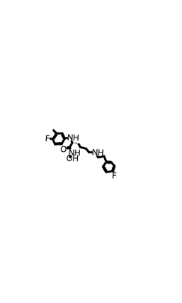 Cc1cc(N[C@H](CCCCNCCc2ccc(F)cc2)C(=O)NO)ccc1F